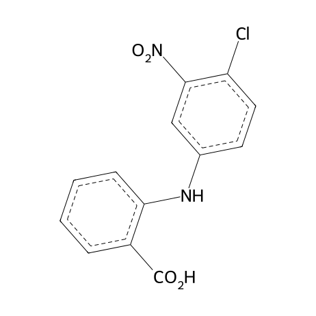 O=C(O)c1ccccc1Nc1ccc(Cl)c([N+](=O)[O-])c1